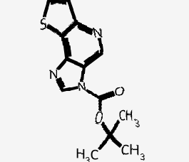 CC(C)(C)OC(=O)n1cnc2c3sccc3ncc21